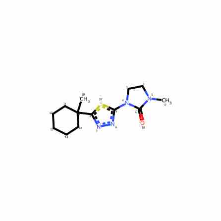 CN1CCN(c2nnc(C3(C)CCCCC3)s2)C1=O